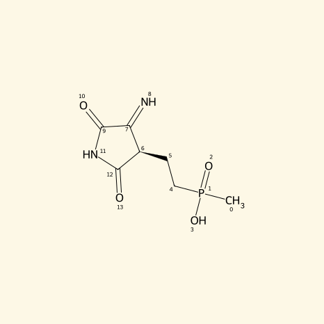 CP(=O)(O)CC[C@@H]1C(=N)C(=O)NC1=O